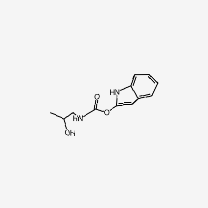 CC(O)CNC(=O)Oc1cc2ccccc2[nH]1